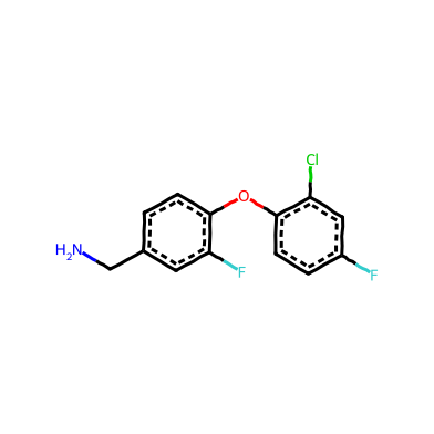 NCc1ccc(Oc2ccc(F)cc2Cl)c(F)c1